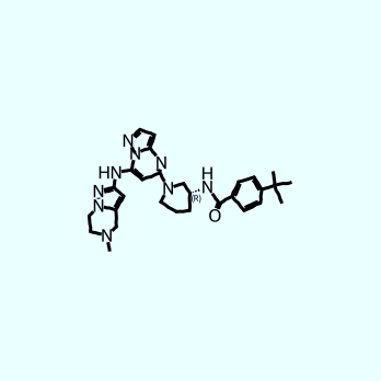 CN1CCn2nc(Nc3cc(N4CCC[C@@H](NC(=O)c5ccc(C(C)(C)C)cc5)C4)nc4ccnn34)cc2C1